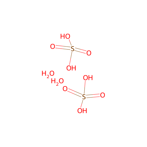 O.O.O=S(=O)(O)O.O=S(=O)(O)O